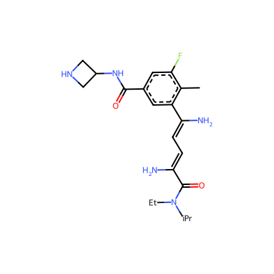 CCN(C(=O)/C(N)=C/C=C(\N)c1cc(C(=O)NC2CNC2)cc(F)c1C)C(C)C